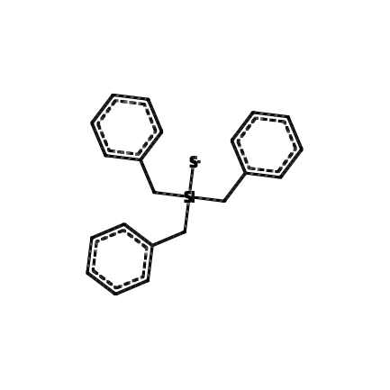 [S][Si](Cc1ccccc1)(Cc1ccccc1)Cc1ccccc1